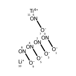 O=N[O-].O=N[O-].O=N[O-].O=N[O-].O=N[O-].[Li+].[Ti+4]